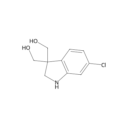 OCC1(CO)CNc2cc(Cl)ccc21